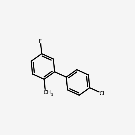 Cc1ccc(F)cc1-c1ccc(Cl)cc1